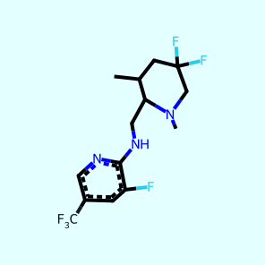 CC1CC(F)(F)CN(C)C1CNc1ncc(C(F)(F)F)cc1F